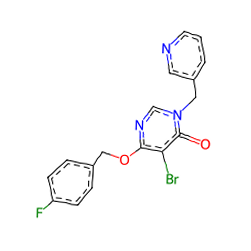 O=c1c(Br)c(OCc2ccc(F)cc2)ncn1Cc1cccnc1